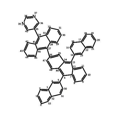 c1ccc2cc(-c3c4ccccc4c(-c4ccc5ccccc5c4)c4cc(-c5c6ccccc6c(-c6cncnc6)c6ccccc56)ccc34)ccc2c1